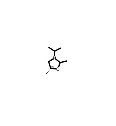 CC(C)N1C[C@@H](C)OC1C